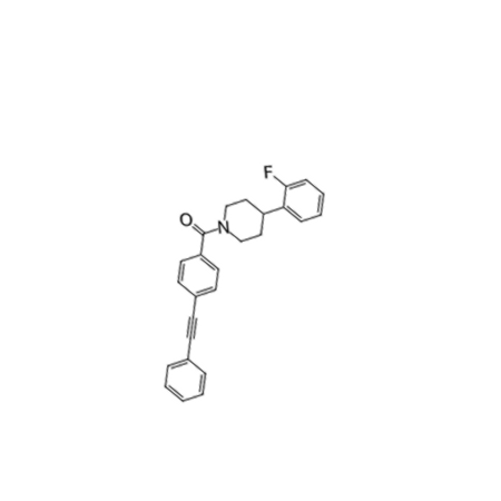 O=C(c1ccc(C#Cc2ccccc2)cc1)N1CCC(c2ccccc2F)CC1